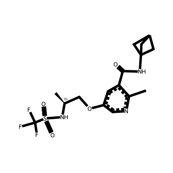 Cc1ncc(OC[C@H](C)NS(=O)(=O)C(F)(F)F)cc1C(=O)NC12CC(C1)C2